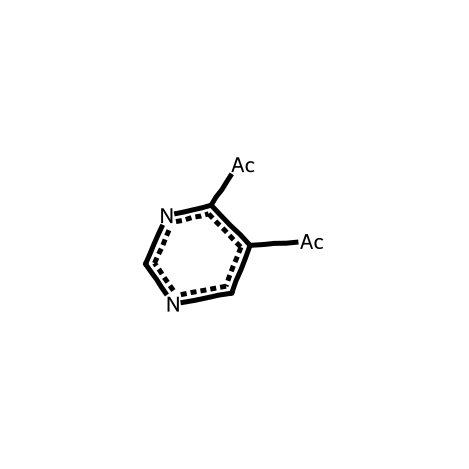 CC(=O)c1cncnc1C(C)=O